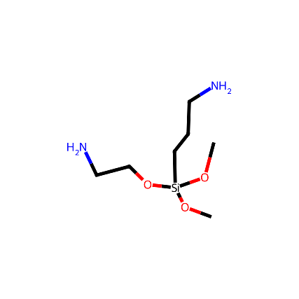 CO[Si](CCCN)(OC)OCCN